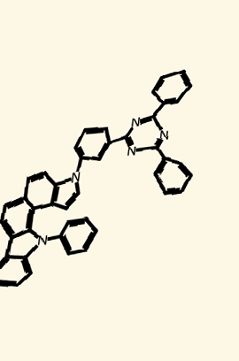 c1ccc(-c2nc(-c3ccccc3)nc(-c3cccc(-n4ccc5c6c(ccc7c8ccccc8n(-c8ccccc8)c76)ccc54)c3)n2)cc1